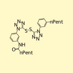 CCCCCC(=O)Nc1cccc(-n2nnnc2SSc2nnnn2-c2cccc(CCCCC)c2)c1